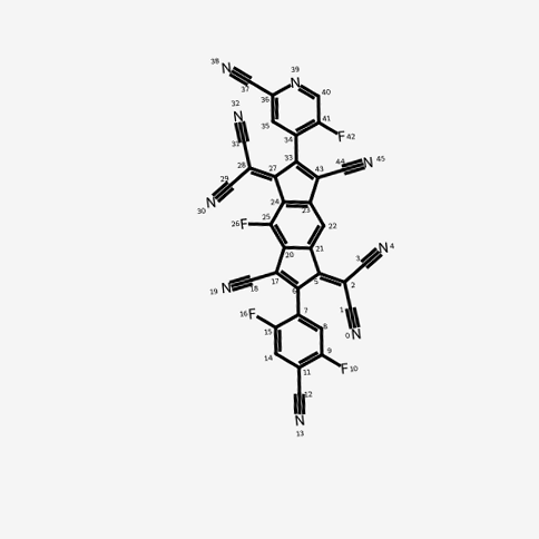 N#CC(C#N)=C1C(c2cc(F)c(C#N)cc2F)=C(C#N)c2c1cc1c(c2F)C(=C(C#N)C#N)C(c2cc(C#N)ncc2F)=C1C#N